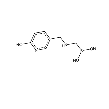 N#Cc1ccc(CNCB(O)O)cn1